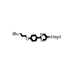 CCCCCCCc1cnc(-c2ccc(OCCC[C@@H](C)CC)cc2)nc1